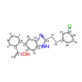 C=C(O)c1ccccc1-c1ccc2[nH]c(CCc3cccc(Cl)c3)nc2c1